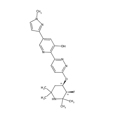 Cn1ccc(-c2cnc(-c3ccc(O[C@@H]4CC(C)(C)NC(C)(C)[C@@H]4F)nn3)c(O)c2)n1